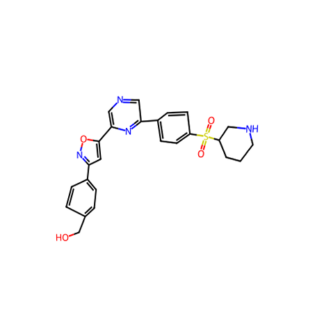 O=S(=O)(c1ccc(-c2cncc(-c3cc(-c4ccc(CO)cc4)no3)n2)cc1)C1CCCNC1